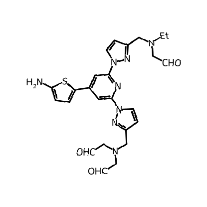 CCN(CC=O)Cc1ccn(-c2cc(-c3ccc(N)s3)cc(-n3ccc(CN(CC=O)CC=O)n3)n2)n1